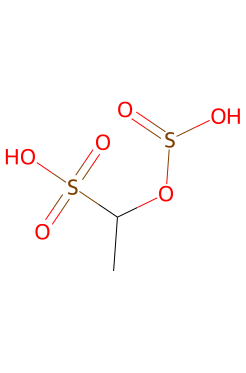 CC(OS(=O)O)S(=O)(=O)O